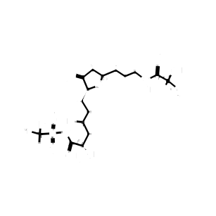 C=C(OS(=O)(=O)C(F)(F)F)[C@H](C)CC(O)CC[C@@H]1OC(CCCOC(=O)C(C)(C)C)CC1=C